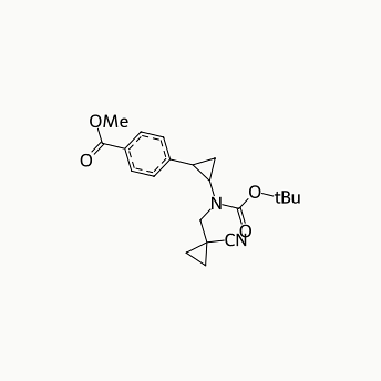 COC(=O)c1ccc(C2CC2N(CC2(C#N)CC2)C(=O)OC(C)(C)C)cc1